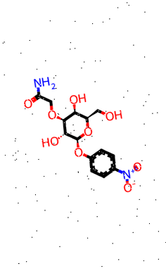 NC(=O)CO[C@H]1[C@@H](O)[C@@H](CO)O[C@@H](Oc2ccc([N+](=O)[O-])cc2)[C@@H]1O